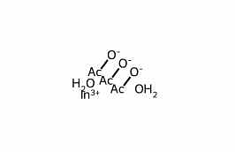 CC(=O)[O-].CC(=O)[O-].CC(=O)[O-].O.O.[In+3]